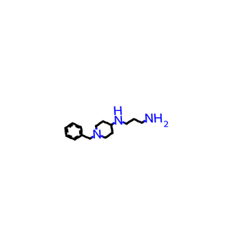 NCCCNC1CCN(Cc2ccccc2)CC1